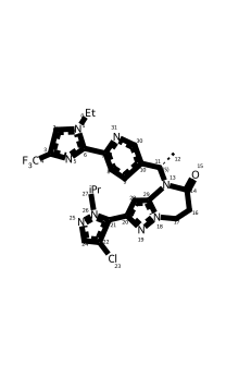 CCn1cc(C(F)(F)F)nc1-c1ccc([C@H](C)N2C(=O)CCn3nc(-c4c(Cl)cnn4C(C)C)cc32)cn1